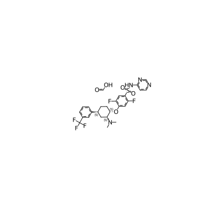 CN(C)[C@H]1C[C@@H](c2cccc(C(F)(F)F)c2)CC[C@@H]1Oc1cc(F)c(S(=O)(=O)Nc2ccncn2)cc1F.O=CO